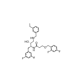 CCc1cccc(CNC[C@@H](O)[C@H](Cc2cc(F)cc(F)c2)NC(=O)CCOCc2ccc(F)cc2F)c1